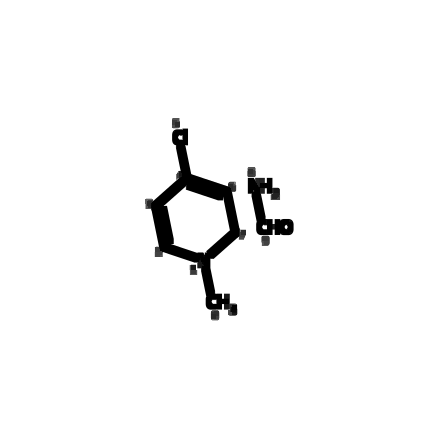 CN1C=CC(Cl)=CC1.NC=O